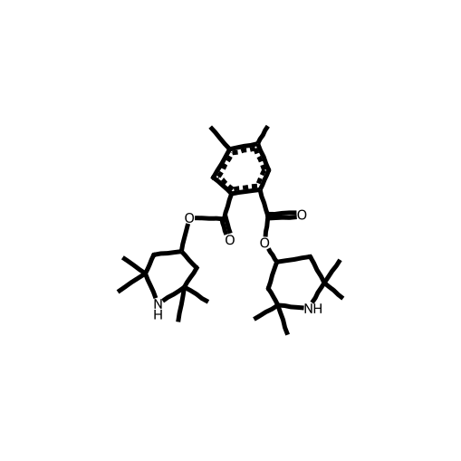 Cc1cc(C(=O)OC2CC(C)(C)NC(C)(C)C2)c(C(=O)OC2CC(C)(C)NC(C)(C)C2)cc1C